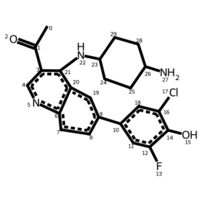 CC(=O)c1cnc2ccc(-c3cc(F)c(O)c(Cl)c3)cc2c1NC1CCC(N)CC1